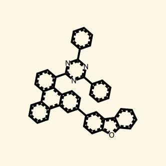 c1ccc(-c2nc(-c3ccccc3)nc(-c3cccc4c5ccccc5c5cc(-c6ccc7oc8ccccc8c7c6)ccc5c34)n2)cc1